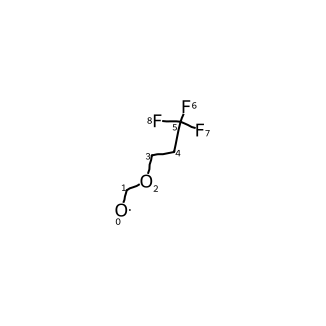 [O]COCCC(F)(F)F